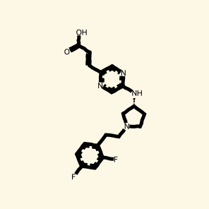 O=C(O)/C=C/c1cnc(N[C@@H]2CCN(CCc3ccc(F)cc3F)C2)cn1